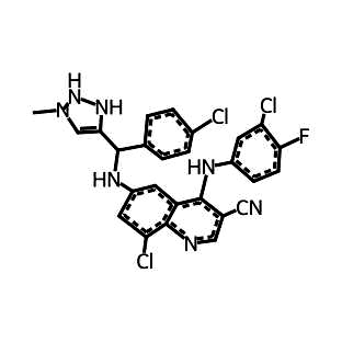 CN1C=C(C(Nc2cc(Cl)c3ncc(C#N)c(Nc4ccc(F)c(Cl)c4)c3c2)c2ccc(Cl)cc2)NN1